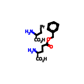 CC(C)C[C@H](N)C(=O)O.N[C@@H](CCC(=O)OCc1ccccc1)C(=O)O